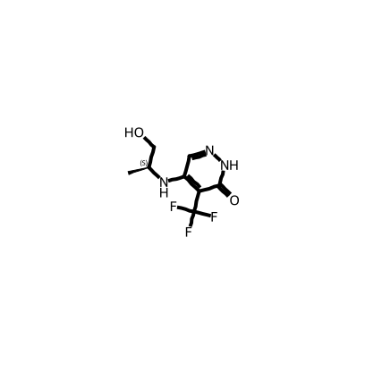 C[C@@H](CO)Nc1cn[nH]c(=O)c1C(F)(F)F